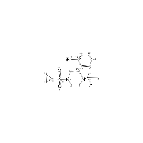 CCC(C)(C)N1CCN(S(=O)(=O)C2CC2)CC1c1ccccc1C(C)C